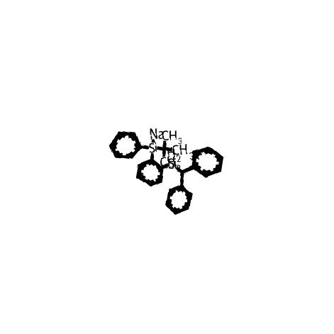 CC(C)(C)[Si]([Na])(c1ccccc1)c1ccccc1[SiH2]C(c1ccccc1)c1ccccc1